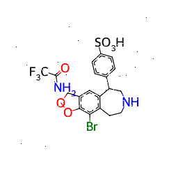 NC(=O)C(F)(F)F.O=S(=O)(O)c1ccc(C2CNCCc3c2cc2c(c3Br)OOC2)cc1